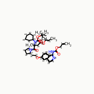 C=CCOC(=O)Nc1nccc2cc(OCC[C@@H]3CCCN3C(=O)[C@@](C)(CC(=O)OCCC)N(C(=O)OC(C)(C)C)C3CCCCC3)ccc12